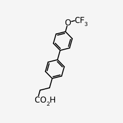 O=C(O)CCc1ccc(-c2ccc(OC(F)(F)F)cc2)cc1